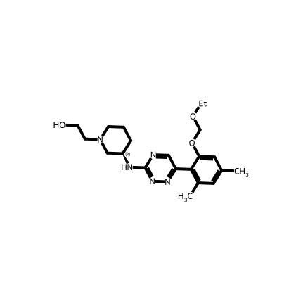 CCOCOc1cc(C)cc(C)c1-c1cnc(N[C@@H]2CCCN(CCO)C2)nn1